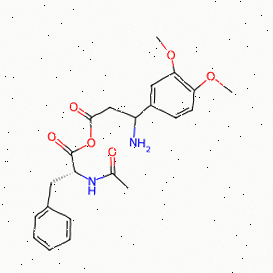 COc1ccc(C(N)CC(=O)OC(=O)[C@@H](Cc2ccccc2)NC(C)=O)cc1OC